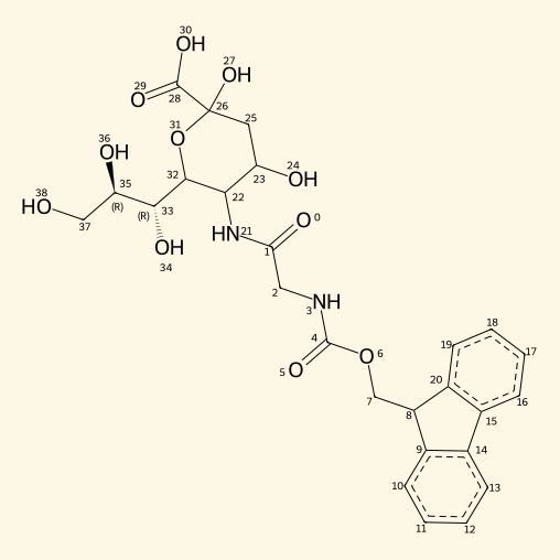 O=C(CNC(=O)OCC1c2ccccc2-c2ccccc21)NC1C(O)CC(O)(C(=O)O)OC1[C@H](O)[C@H](O)CO